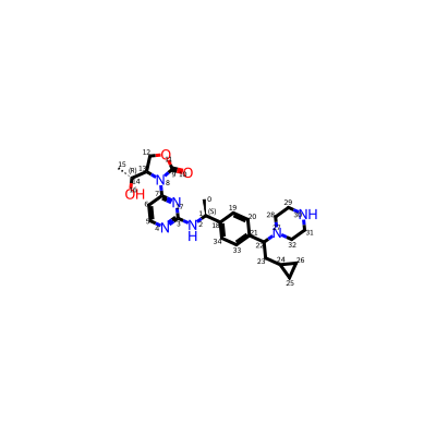 C[C@H](Nc1nccc(N2C(=O)OCC2[C@@H](C)O)n1)c1ccc(C(CC2CC2)N2CCNCC2)cc1